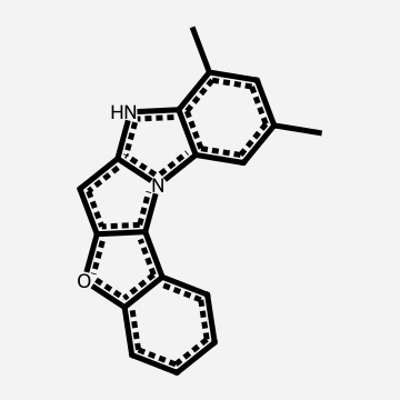 Cc1cc(C)c2[nH]c3cc4oc5ccccc5c4n3c2c1